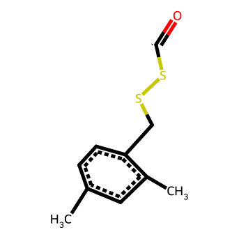 Cc1ccc(CSS[C]=O)c(C)c1